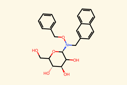 OCC1O[C@@H](N(Cc2ccc3ccccc3c2)OCc2ccccc2)C(O)[C@@H](O)[C@@H]1O